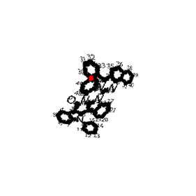 O=c1c2c3ccccc3n(-c3ccccc3)c2c2c3ccccc3n(-c3nc(-c4ccccc4)c4ccc5ccccc5c4n3)c2n1-c1ccccc1